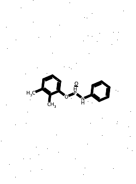 Cc1cccc(O[PH](=O)Nc2ccccc2)c1C